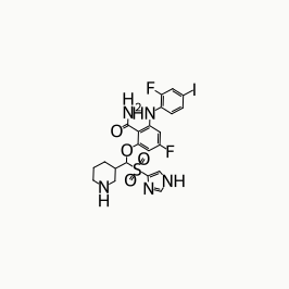 NC(=O)c1c(Nc2ccc(I)cc2F)cc(F)cc1OC(C1CCCNC1)S(=O)(=O)c1c[nH]cn1